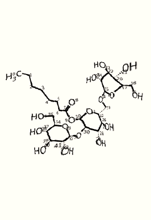 CCCCCCCC(=O)O[C@H]1O[C@H](CO[C@@H]2O[C@H](CO)[C@@H](O)[C@H](O)[C@H]2O)[C@@H](O)[C@H](O)[C@H]1O[C@@H]1O[C@H](CO)[C@@H](O)[C@H](O)[C@H]1O